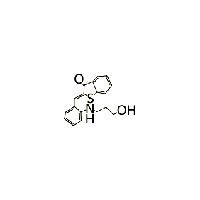 O=C1C(=Cc2ccccc2NCCCO)Sc2ccccc21